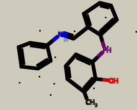 Cc1cccc(Pc2ccccc2/C=N/c2ccccc2)c1O